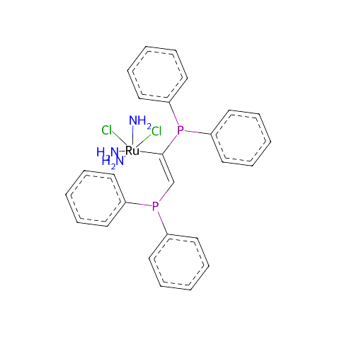 [NH2][Ru]([NH2])([NH2])([Cl])([Cl])[C](=CP(c1ccccc1)c1ccccc1)P(c1ccccc1)c1ccccc1